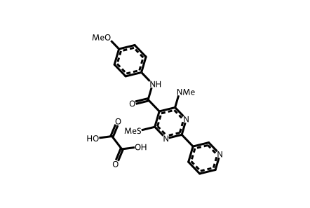 CNc1nc(-c2cccnc2)nc(SC)c1C(=O)Nc1ccc(OC)cc1.O=C(O)C(=O)O